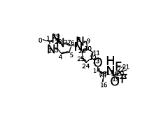 Cc1nc2ccc(-n3ncc4cc(OC[C@H](C)NC(=O)C(C)(F)F)ccc43)cn2n1